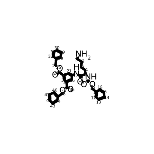 NCCCCC(NC(=O)OCc1ccccc1)C(=O)Nc1cc(C(=O)OCc2ccccc2)cc(C(=O)OCc2ccccc2)c1